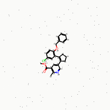 COC(=O)c1cc(C2=C(c3cc(Cl)ccc3OCc3ccccc3)CCC2)cnc1C